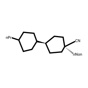 CCCCCCCCC[C@]1(C#N)CC[C@@H](C2CCC(CCC)CC2)CC1